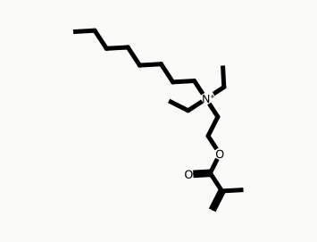 C=C(C)C(=O)OCC[N+](CC)(CC)CCCCCCCC